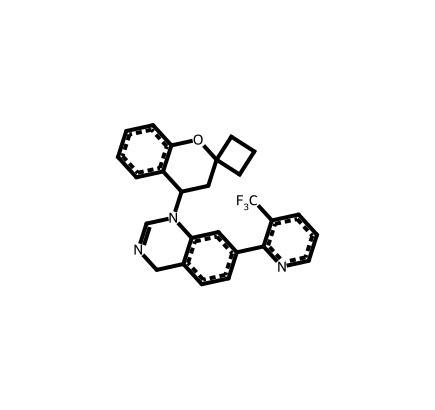 FC(F)(F)c1cccnc1-c1ccc2c(c1)N(C1CC3(CCC3)Oc3ccccc31)C=NC2